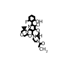 C=CC(=O)N1CCN2Cc3c(N4C(=O)COCC45CC5)nc(-c4c(O)cccc4F)c(Cl)c3OC[C@H]2C1